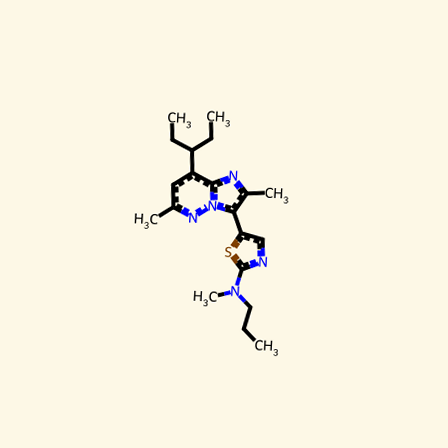 CCCN(C)c1ncc(-c2c(C)nc3c(C(CC)CC)cc(C)nn23)s1